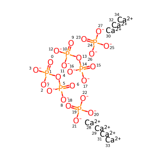 O=P([O-])([O-])OP(=O)([O-])[O-].O=P([O-])([O-])OP(=O)([O-])[O-].O=P([O-])([O-])[O-].O=P([O-])([O-])[O-].[Ca+2].[Ca+2].[Ca+2].[Ca+2].[Ca+2].[Ca+2].[Ca+2]